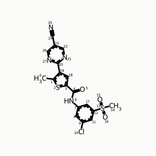 Cc1sc(C(=O)Nc2cc(Cl)cc(S(C)(=O)=O)c2)cc1-c1ncc(C#N)cn1